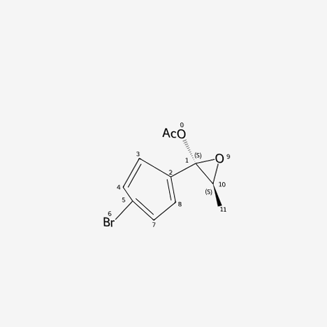 CC(=O)O[C@]1(c2ccc(Br)cc2)O[C@H]1C